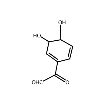 O=CC(=O)C1=CC(O)C(O)C=C1